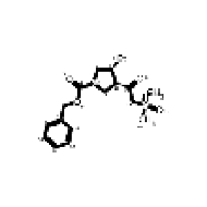 CC[C@@H]1CN(C(=O)OCc2ccccc2)C[C@@H]1C(=O)C[SH](C)(C)=O